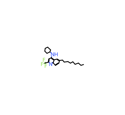 CCCCCCCCCc1ccc2nc(C(F)(F)F)cc(NC3CCCCC3)c2c1